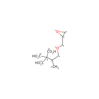 CC(COCC1CO1)C(C(=O)O)(C(=O)O)C(=O)O